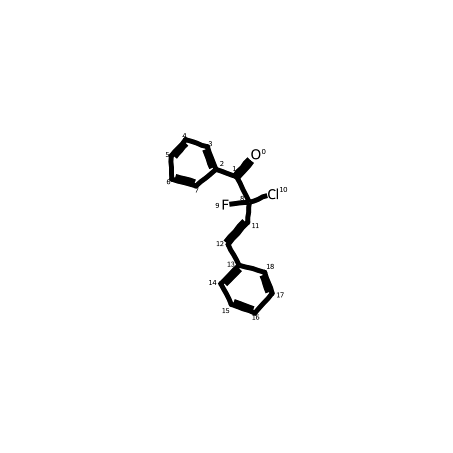 O=C(c1ccccc1)C(F)(Cl)C=Cc1ccccc1